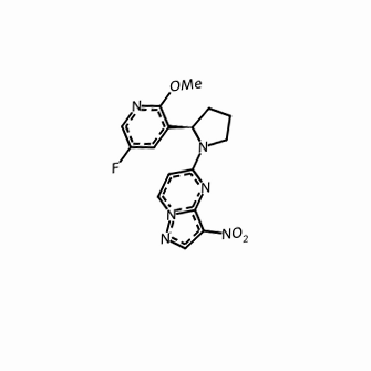 COc1ncc(F)cc1[C@H]1CCCN1c1ccn2ncc([N+](=O)[O-])c2n1